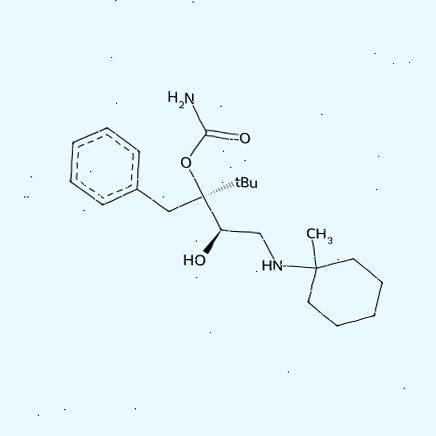 CC1(NC[C@@H](O)[C@@](Cc2ccccc2)(OC(N)=O)C(C)(C)C)CCCCC1